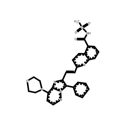 CS(=O)(=O)NC(=O)c1cccc2nc(/C=C/c3nc4c(N5CCOCC5)ccnn4c3-c3ccccc3)ccc12